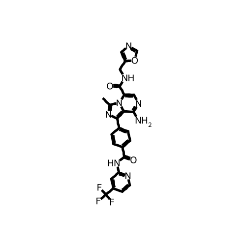 Cc1nc(-c2ccc(C(=O)Nc3cc(C(F)(F)F)ccn3)cc2)c2c(N)ncc(C(=O)NCc3cnco3)n12